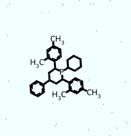 Cc1ccc(C2CC(c3ccccc3)CC(c3ccc(C)cc3C)P2C2CCCCC2)c(C)c1